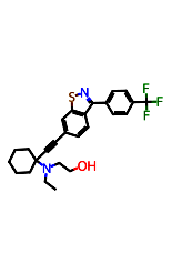 CCN(CCO)C1(C#Cc2ccc3c(-c4ccc(C(F)(F)F)cc4)nsc3c2)CCCCC1